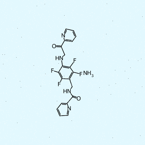 N.O=C(CNc1c(F)c(F)c(CNC(=O)c2ccccn2)c(F)c1F)c1ccccn1